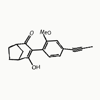 CC#Cc1ccc(C2=C(O)C3CCC(C3)C2=O)c(OC)c1